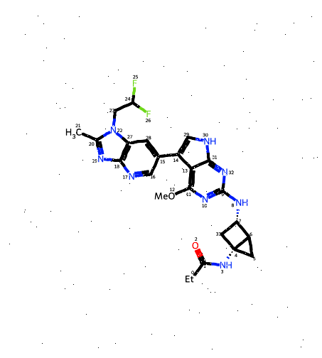 CCC(=O)N[C@@]12CC1[C@@H](Nc1nc(OC)c3c(-c4cnc5nc(C)n(CC(F)F)c5c4)c[nH]c3n1)C2